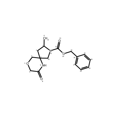 CC1CC2(COCC(=O)N2)CN1C(=O)OCc1ccccc1